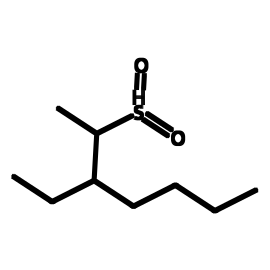 CCCCC(CC)C(C)[SH](=O)=O